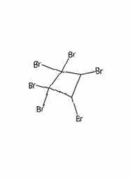 BrC1C(Br)C(Br)(Br)C1(Br)Br